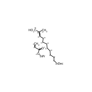 C=CC(=O)OCCC.CCCCCCCCCCCCCCCCCCC=C(C)C(=O)O